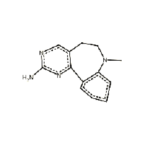 CN1CCc2cnc(N)nc2-c2ccccc21